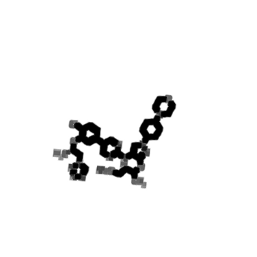 COCCC(C)Oc1nn(C2CCC(N3CCOCC3)CC2)cc1Nc1ncc(-c2ccc(Cl)c(O[C@@H](C)Cn3cnnn3)c2)cn1